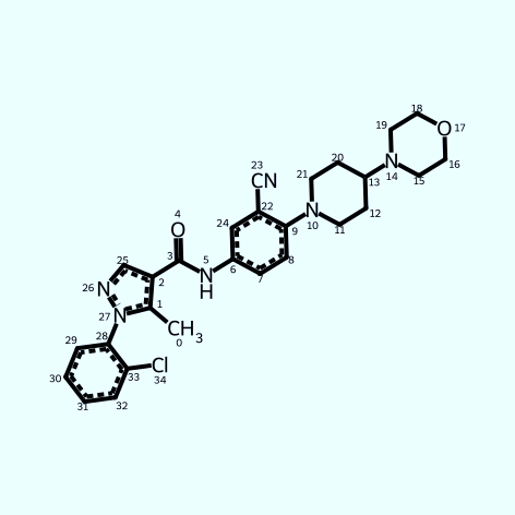 Cc1c(C(=O)Nc2ccc(N3CCC(N4CCOCC4)CC3)c(C#N)c2)cnn1-c1ccccc1Cl